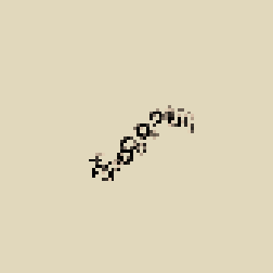 CN(C)[C@@H]1CCN(c2ccc(N3CCc4cc(OCC(O)C(F)(F)F)ccc4C3=O)cc2F)C1